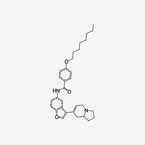 CCCCCCCCOc1ccc(C(=O)Nc2ccc3occ(C4=CCN5CCCC5C4)c3c2)cc1